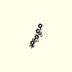 O=c1nc2n(Cc3ccccc3)cccc-2n1-c1ccc(-c2nc3ccc(C(F)(F)F)cc3[nH]2)cc1